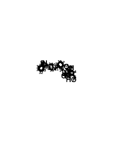 O=C1[C@H]2[C@@H]3CC(CO)[C@@H](C3)[C@H]2C(=O)N1C[C@@H]1CCCC[C@H]1CN1CCN(c2nsc3ccccc23)CC1